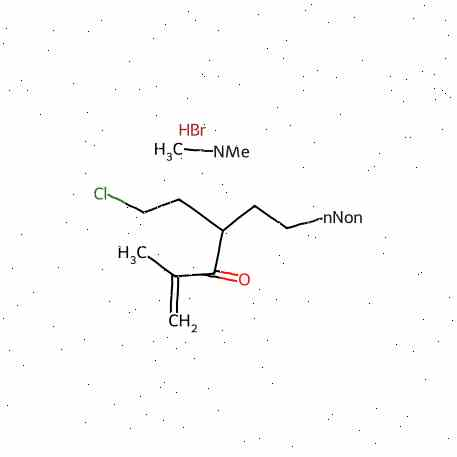 Br.C=C(C)C(=O)C(CCCl)CCCCCCCCCCC.CNC